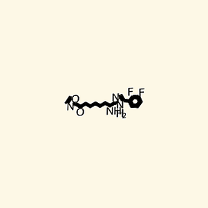 N[C@@H](CCCCCC(=O)c1ncco1)c1ncc(-c2cccc(F)c2F)[nH]1